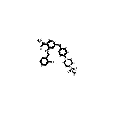 Cc1ccccc1CNc1cc(Nc2ccc(N3CCN(S(=O)(=O)C(C)C)CC3)cc2)ncc1C(N)=O